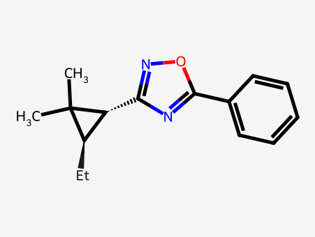 CC[C@@H]1[C@@H](c2noc(-c3ccccc3)n2)C1(C)C